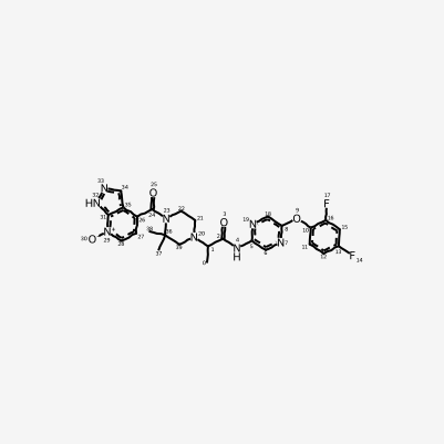 CC(C(=O)Nc1cnc(Oc2ccc(F)cc2F)cn1)N1CCN(C(=O)c2cc[n+]([O-])c3[nH]ncc23)C(C)(C)C1